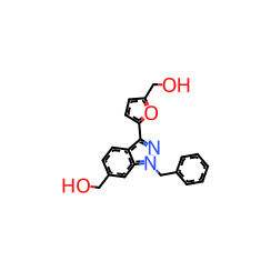 OCc1ccc2c(-c3ccc(CO)o3)nn(Cc3ccccc3)c2c1